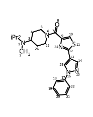 CC(C)N(C)C1CCN(C(=O)c2csc(-c3cnn(-c4ccccc4)c3)n2)CC1